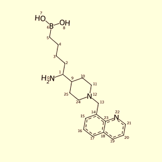 NC(CCCCB(O)O)C1CCN(Cc2cccc3cccnc23)CC1